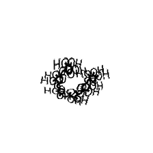 OC1COC(OC2COC(OC3COC(OC4COC(OC5COC(OC6COC(O)C(O)C6O)C(O)C5O)C(O)C4O)C(O)C3O)C(O)C2O)C(O)C1O